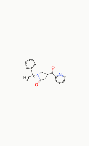 C[C@H](c1ccccc1)N1CC(C(=O)c2ccccn2)CC1=O